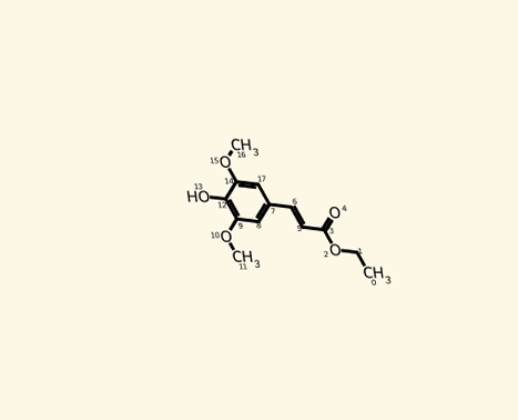 CCOC(=O)C=Cc1cc(OC)c(O)c(OC)c1